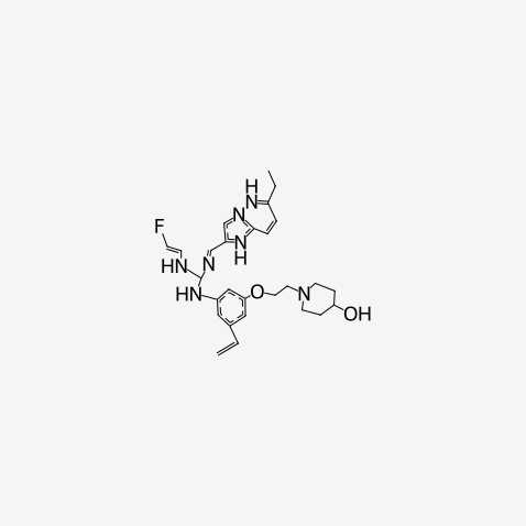 C=Cc1cc(NC(/N=C/c2cnc(/C=C\C(=N)CC)[nH]2)N/C=C/F)cc(OCCN2CCC(O)CC2)c1